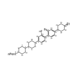 CCCCCC1CCC(C2CCC(c3ccc(-c4ccc(C5CCC(CC)CC5)cc4F)c(F)c3)CC2)CC1